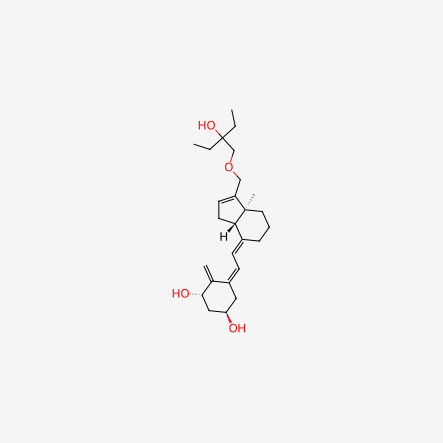 C=C1C(=CC=C2CCC[C@]3(C)C(COCC(O)(CC)CC)=CC[C@@H]23)C[C@@H](O)C[C@@H]1O